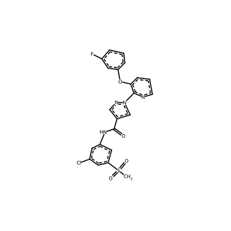 CS(=O)(=O)c1cc(Cl)cc(NC(=O)c2cnn(-c3ncccc3Oc3cccc(F)c3)c2)c1